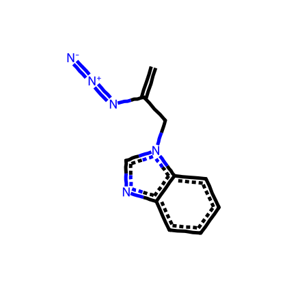 C=C(Cn1cnc2ccccc21)N=[N+]=[N-]